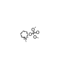 COP(=O)([O-])OC.C[n+]1ccccc1